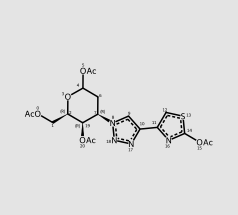 CC(=O)OC[C@H]1OC(OC(C)=O)C[C@@H](n2cc(-c3csc(OC(C)=O)n3)nn2)[C@H]1OC(C)=O